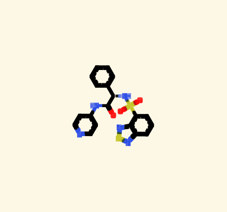 O=C(Nc1ccncc1)[C@@H](NS(=O)(=O)c1cccc2nsnc12)c1ccccc1